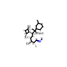 CCCC(C)C(C)(C1CCCC(C)C1)C(C[C@@H](C)[C@H](CC)[C@@H](C)/C=N/C)[C@@H]1C(CC)C[C@@H]1C